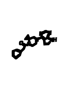 O=C(Cc1ccccc1)N1CCN(c2ncnc3[nH]ccc23)CC12CC2